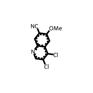 COc1cc2c(Cl)c(Cl)cnc2cc1C#N